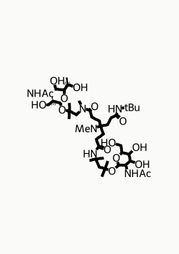 CNC(CCC(=O)NC(C)(C)C)(CCC(=O)NC(C)(C)CC(C)(C)OC1OC(CO)C(O)C(O)C1NC(C)=O)CCC(=O)N(C)CC(C)(C)OC(OC(CO)[C@@H](C)O)[C@H](CO)NC(C)=O